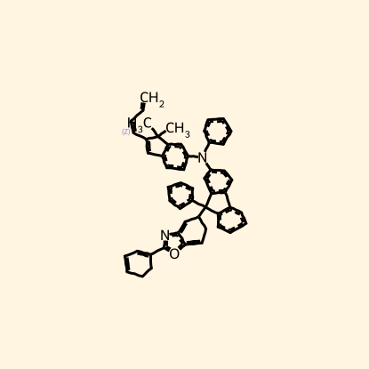 C=C/C=C\C1=Cc2ccc(N(c3ccccc3)c3ccc4c(c3)C(c3ccccc3)(C3C=c5nc(C6=CC=CCC6)oc5=CC3)c3ccccc3-4)cc2C1(C)C